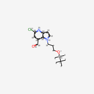 CC(C)(C)[Si](C)(C)OCCCn1ccc2nc(Cl)cc(C=O)c21